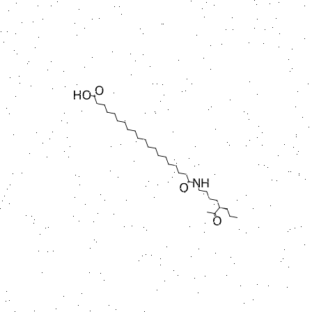 CCC[C@H](CCCCNC(=O)CCCCCCCCCCCCCCCCCCC(=O)O)C(C)=O